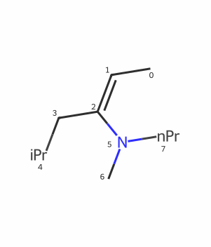 CC=C(CC(C)C)N(C)CCC